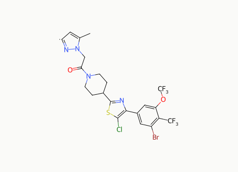 Cc1c[c]nn1CC(=O)N1CCC(c2nc(-c3cc(Br)c(C(F)(F)F)c(OC(F)(F)F)c3)c(Cl)s2)CC1